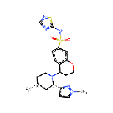 Cn1ccc([C@@H]2C[C@H](C(F)(F)F)CCN2C2CCOc3cc(S(=O)(=O)Nc4ncns4)ccc32)n1